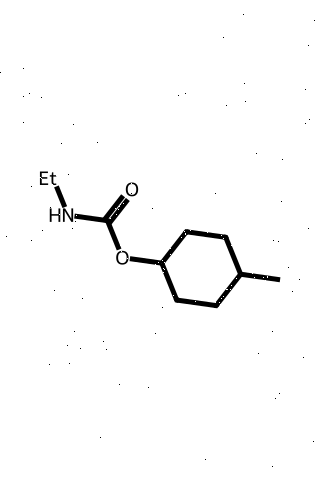 CCNC(=O)OC1CCC(C)CC1